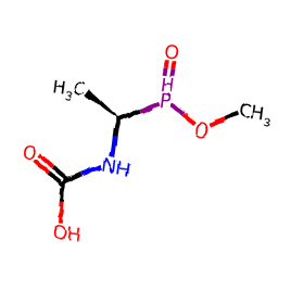 CO[PH](=O)[C@H](C)NC(=O)O